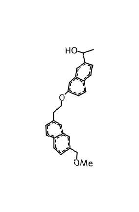 COCc1ccc2ccc(CCOc3ccc4ccc(C(C)O)cc4c3)cc2c1